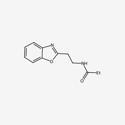 CCC(=O)NCCc1nc2ccccc2o1